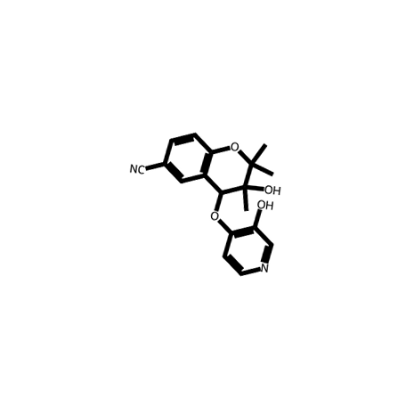 CC1(C)Oc2ccc(C#N)cc2C(Oc2ccncc2O)C1(C)O